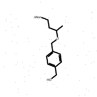 CCCCCCCCCCCC(C)OCc1ccc(CO)cc1